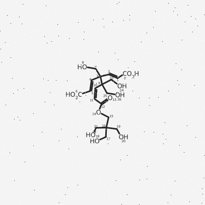 O=C(O)C=CC(C=CC(=O)O)(CO)C(C=CC(=O)OCC(CO)(CO)CO)(CO)CO